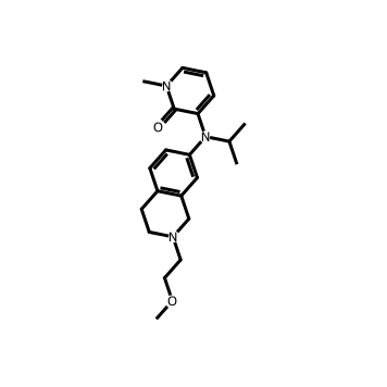 COCCN1CCc2ccc(N(c3cccn(C)c3=O)C(C)C)cc2C1